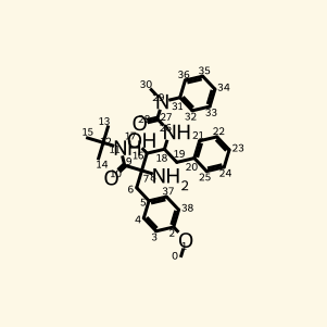 COc1ccc(CC(N)(C(=O)NC(C)(C)C)C(O)C(Cc2ccccc2)NC(=O)N(C)c2ccccc2)cc1